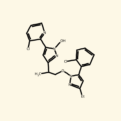 CCc1cc(-c2ccccc2Cl)n(OCC(C)c2cc(-c3ncccc3Cl)n(O)n2)n1